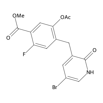 COC(=O)c1cc(OC(C)=O)c(Cc2cc(Br)c[nH]c2=O)cc1F